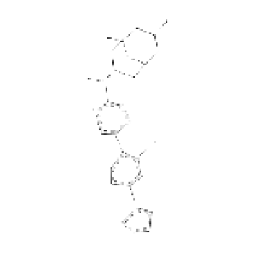 C[C@H]1CC2N[C@@](C)(C1)C[C@H](N(C)c1ncc(-c3ccc(-n4ccnc4)cc3O)nn1)[C@H]2F